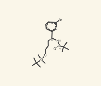 CC(C)(C)[S@@+]([O-])N[C@@H](CCCO[Si](C)(C)C(C)(C)C)c1cccc(Br)n1